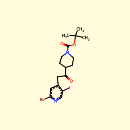 CC(C)(C)OC(=O)N1CCC(C(=O)Cc2cc(Br)ncc2I)CC1